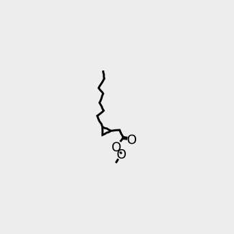 CCCCCCCC1CC1CC(=O)OOC